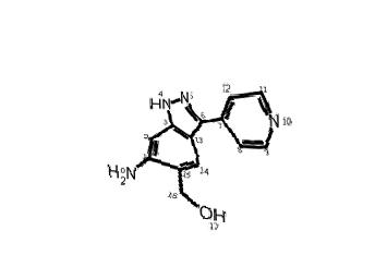 Nc1cc2[nH]nc(-c3ccncc3)c2cc1CO